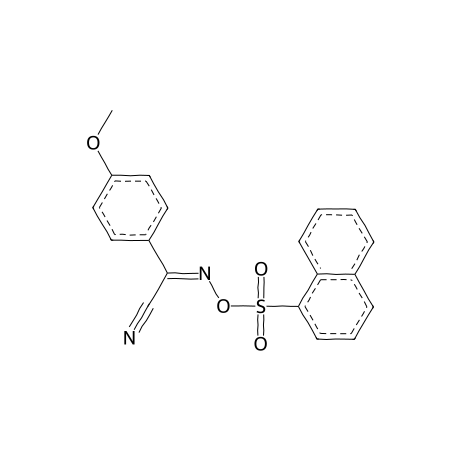 COc1ccc(/C(C#N)=N/OS(=O)(=O)c2cccc3ccccc23)cc1